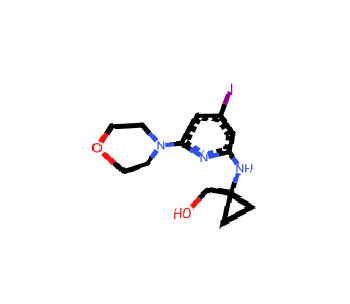 OCC1(Nc2cc(I)cc(N3CCOCC3)n2)CC1